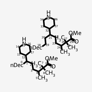 CCCCCCCCCCC(CCC(C)C(C)(C)C(=O)OC)C1CCNCC1.CCCCCCCCCCCCC(CCC(C)C(C)(C)C(=O)OC)C1CCNCC1